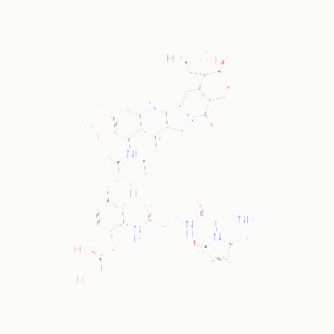 CCCCc1c2c(nc3cc4c(c(NC(=O)OCc5ccc(O[C@H](O)CO)c(NC(=O)CCNC(=O)[C@H](CN)N6C(=O)C=CC6=O)c5)c13)OCO4)-c1cc3c(c(=O)n1C2)COC(=O)[C@]3(O)CC